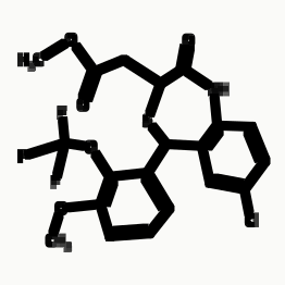 COC(=O)CC1SC(c2cccc(OC)c2OC(F)(F)F)c2cc(Cl)ccc2NC1=O